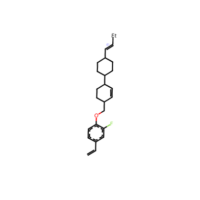 C=Cc1ccc(OCC2C=CC(C3CCC(/C=C/CC)CC3)CC2)c(F)c1